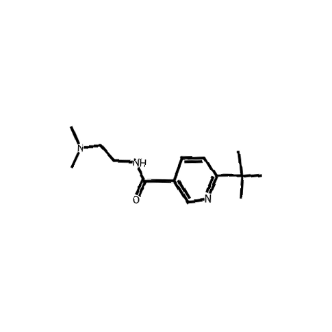 CN(C)CCNC(=O)c1ccc(C(C)(C)C)nc1